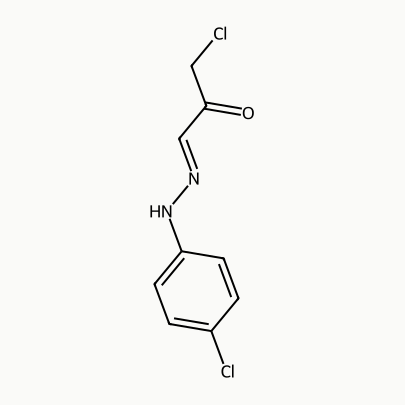 O=C(/C=N/Nc1ccc(Cl)cc1)CCl